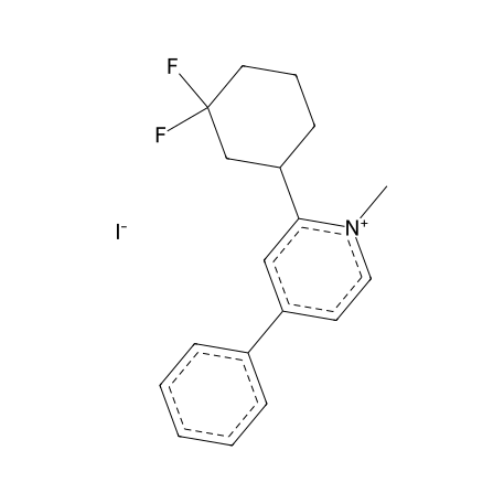 C[n+]1ccc(-c2ccccc2)cc1C1CCCC(F)(F)C1.[I-]